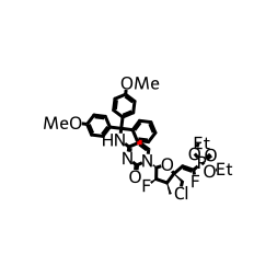 CCOP(=O)(OCC)/C(F)=C/[C@@]1(CCl)O[C@@H](n2ccc(NC(c3ccccc3)(c3ccc(OC)cc3)c3ccc(OC)cc3)nc2=O)[C@H](F)[C@@H]1C